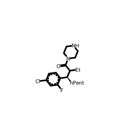 CCCCC[C@@H](c1ccc(Cl)cc1F)C(CC)C(=O)N1CCNCC1